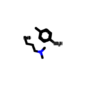 CN(C)CC[CH2][SnH].Cc1ccc(S(=O)(=O)O)cc1